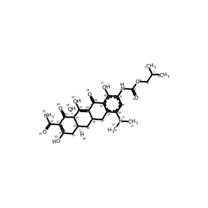 CC(C)COC(=O)Nc1cc(N(C)C)c2c(c1O)C(=O)C1=C(O)[C@]3(O)C(=O)C(C(N)=O)=C(O)C[C@@H]3CC1C2